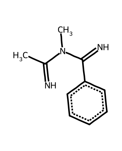 CC(=N)N(C)C(=N)c1ccccc1